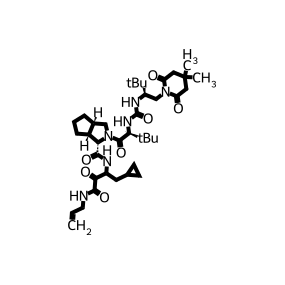 C=CCNC(=O)C(=O)C(CC1CC1)NC(=O)[C@@H]1[C@H]2CCC[C@H]2CN1C(=O)[C@@H](NC(=O)N[C@H](CN1C(=O)CC(C)(C)CC1=O)C(C)(C)C)C(C)(C)C